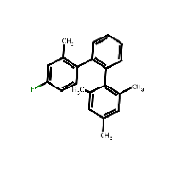 Cc1cc(C)c(-c2[c]cccc2-c2ccc(F)cc2C)c(C)c1